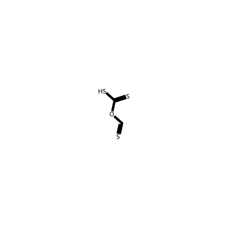 S=COC(=S)S